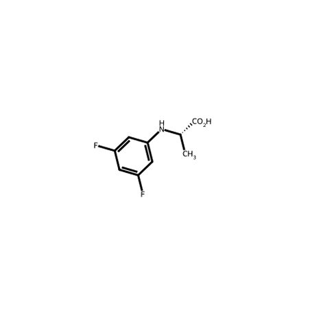 C[C@H](Nc1cc(F)cc(F)c1)C(=O)O